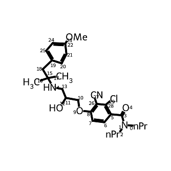 CCCN(CCC)C(=O)c1ccc(OCC(O)CNC(C)(C)Cc2ccc(OC)cc2)c(C#N)c1Cl